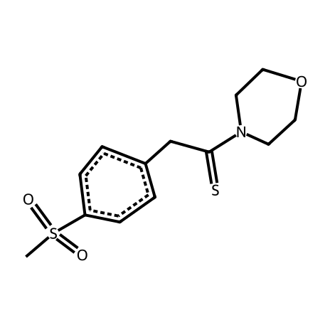 CS(=O)(=O)c1ccc(CC(=S)N2CCOCC2)cc1